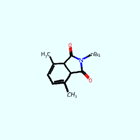 CCCCN1C(=O)C2C(C)=CC=C(C)C2C1=O